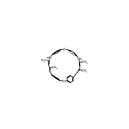 C/C1=C/C(C)=N/c2ccc(cc2)Cc2ccc(cc2)/N=C(C)/C=C(/C)Nc2ccc(cc2)CC2=CC=C(CC2)N1